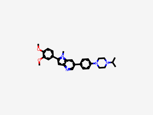 COc1ccc(-c2cc3ncc(-c4ccc(N5CCN(C(C)C)CC5)cc4)cc3n2C)cc1OC